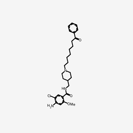 COc1cc(N)c(Cl)cc1C(=O)NCC1CCN(CCCCCCCC(=O)c2ccccc2)CC1